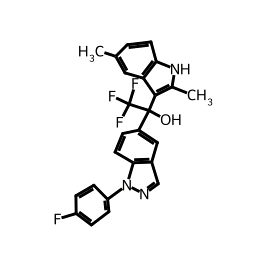 Cc1ccc2[nH]c(C)c(C(O)(c3ccc4c(cnn4-c4ccc(F)cc4)c3)C(F)(F)F)c2c1